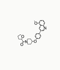 COc1cccc2ncc(-c3ccc(OC4CCN(C(=O)C5CCCO5)CC4)cc3)cc12